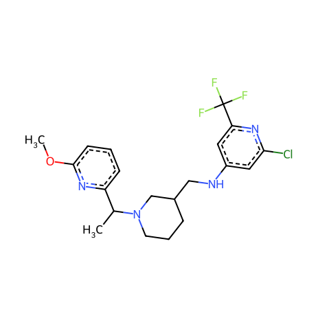 COc1cccc(C(C)N2CCCC(CNc3cc(Cl)nc(C(F)(F)F)c3)C2)n1